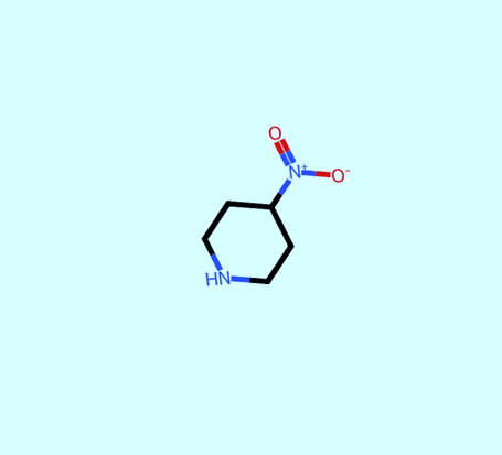 O=[N+]([O-])C1CCNCC1